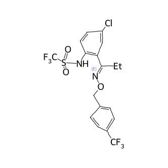 CC/C(=N\OCc1ccc(C(F)(F)F)cc1)c1cc(Cl)ccc1NS(=O)(=O)C(F)(F)F